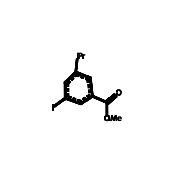 COC(=O)c1cc(I)cc(C(C)C)c1